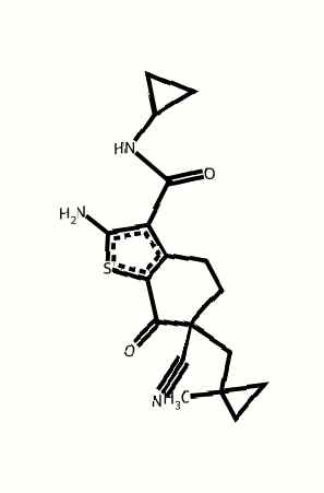 CC1(CC2(C#N)CCc3c(sc(N)c3C(=O)NC3CC3)C2=O)CC1